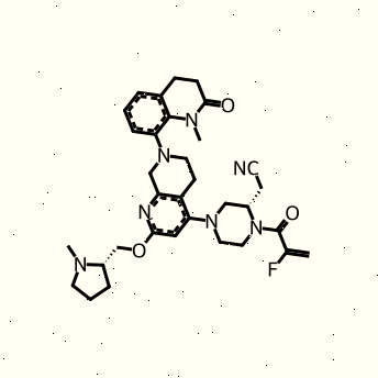 C=C(F)C(=O)N1CCN(c2cc(OC[C@@H]3CCCN3C)nc3c2CCN(c2cccc4c2N(C)C(=O)CC4)C3)C[C@@H]1CC#N